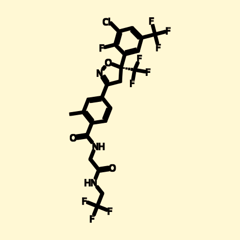 Cc1cc(C2=NO[C@](c3cc(C(F)(F)F)cc(Cl)c3F)(C(F)(F)F)C2)ccc1C(=O)NCC(=O)NCC(F)(F)F